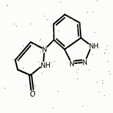 O=C1CC=CN(c2cccc3[nH]nnc23)N1